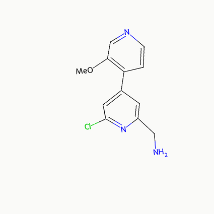 COc1cnccc1-c1cc(Cl)nc(CN)c1